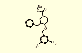 CC(C)(C)OC(=O)N1CCC(OCc2cc(C(F)(F)F)cc(C(F)(F)F)c2)C(Cc2ccccc2)C1